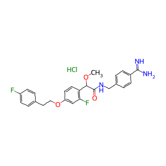 COC(C(=O)NCc1ccc(C(=N)N)cc1)c1ccc(OCCc2ccc(F)cc2)cc1F.Cl